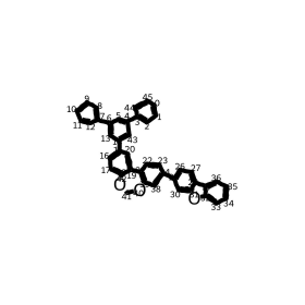 c1ccc(-c2cc(-c3ccccc3)cc(-c3ccc4c(c3)-c3ccc(-c5ccc6c(c5)oc5ccccc56)cc3OCO4)c2)cc1